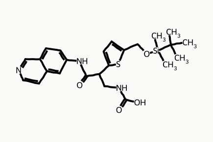 CC(C)(C)[Si](C)(C)OCc1ccc(C(CNC(=O)O)C(=O)Nc2ccc3cnccc3c2)s1